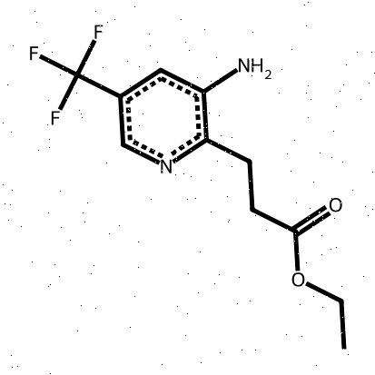 CCOC(=O)CCc1ncc(C(F)(F)F)cc1N